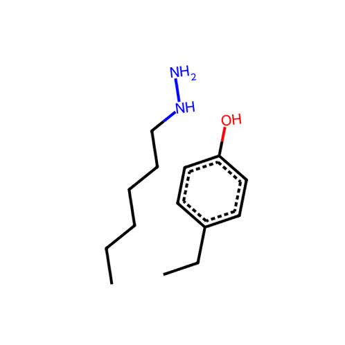 CCCCCCNN.CCc1ccc(O)cc1